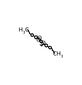 CCCCCC1CCC(C2CCC(C(=O)Oc3ccc(OC(=C4CC4)C4CCC(C5CCC(CCCCC)CC5)CC4)cc3)CC2)CC1